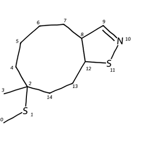 CSC1(C)CCCCC2C=NSC2CC1